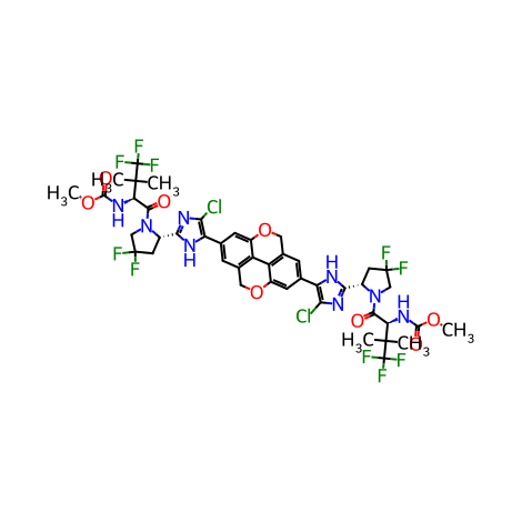 COC(=O)N[C@H](C(=O)N1CC(F)(F)C[C@H]1c1nc(Cl)c(-c2cc3c4c(c2)OCc2cc(-c5[nH]c([C@@H]6CC(F)(F)CN6C(=O)[C@@H](NC(=O)OC)C(C)(C)C(F)(F)F)nc5Cl)cc(c2-4)OC3)[nH]1)C(C)(C)C(F)(F)F